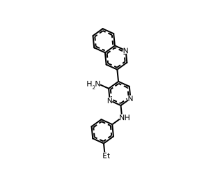 CCc1cccc(Nc2ncc(-c3cnc4ccccc4c3)c(N)n2)c1